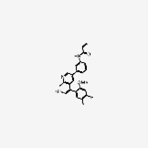 C=CC(=O)Nc1cccc(-c2cnc(C)c(/C(=C\CCC)c3cc(C)c(F)cc3OC)c2)c1